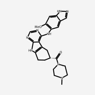 COc1cc2[nH]ncc2cc1Nc1ncnc2[nH]c3c(c12)C[C@H](C(=O)N1CCN(C)CC1)CC3